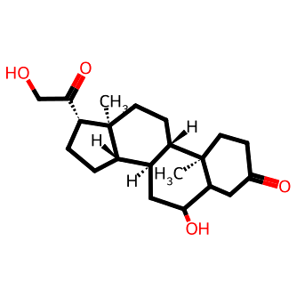 C[C@]12CC[C@H]3[C@@H](CC(O)C4CC(=O)CC[C@@]43C)[C@@H]1CC[C@@H]2C(=O)CO